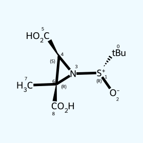 CC(C)(C)[S@+]([O-])N1[C@H](C(=O)O)[C@]1(C)C(=O)O